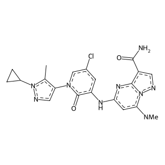 CNc1cc(Nc2cc(Cl)cn(-c3cnn(C4CC4)c3C)c2=O)nc2c(C(N)=O)cnn12